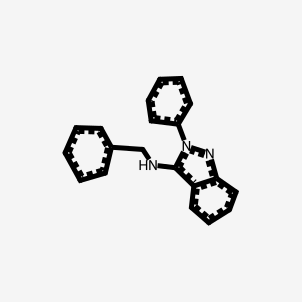 c1ccc(CNc2c3ccccc3nn2-c2ccccc2)cc1